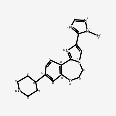 CC(C)n1ncnc1-c1cn2c(n1)-c1ccc(C3CCOCC3)cc1OCC2